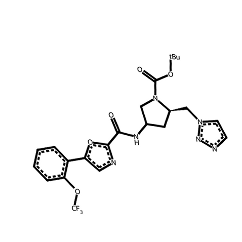 CC(C)(C)OC(=O)N1CC(NC(=O)c2ncc(-c3ccccc3OC(F)(F)F)o2)C[C@@H]1Cn1ccnn1